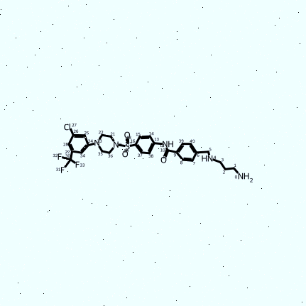 NCCCNCc1ccc(C(=O)Nc2ccc(S(=O)(=O)N3CCN(c4cc(Cl)cc(C(F)(F)F)c4)CC3)cc2)cc1